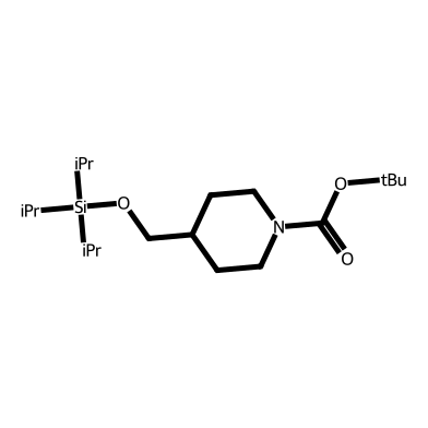 CC(C)[Si](OCC1CCN(C(=O)OC(C)(C)C)CC1)(C(C)C)C(C)C